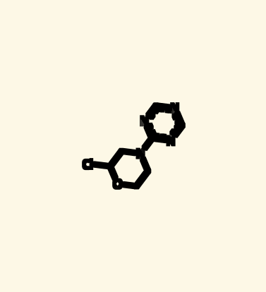 ClC1CN(c2ncncn2)CCO1